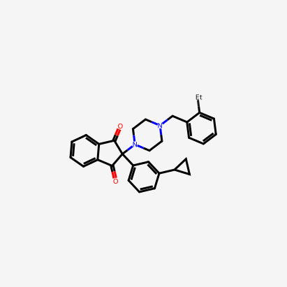 CCc1ccccc1CN1CCN(C2(c3cccc(C4CC4)c3)C(=O)c3ccccc3C2=O)CC1